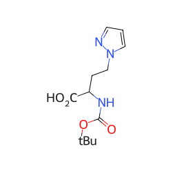 CC(C)(C)OC(=O)NC(CCn1cccn1)C(=O)O